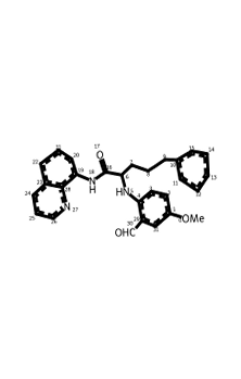 COc1ccc(NC(CCCc2ccccc2)C(=O)Nc2cccc3cccnc23)c(C=O)c1